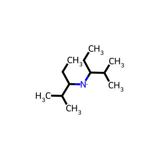 CCC([N]C(CC)C(C)C)C(C)C